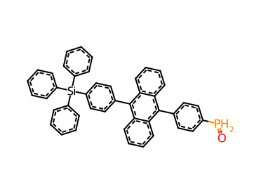 O=[PH2]c1ccc(-c2c3ccccc3c(-c3ccc([Si](c4ccccc4)(c4ccccc4)c4ccccc4)cc3)c3ccccc23)cc1